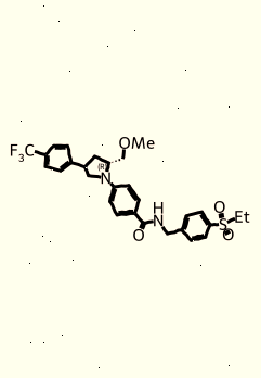 CCS(=O)(=O)c1ccc(CNC(=O)c2ccc(N3CC(c4ccc(C(F)(F)F)cc4)C[C@@H]3COC)cc2)cc1